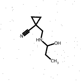 CCC(O)NCC1(C#N)CC1